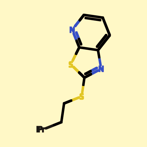 CC(C)CCSc1nc2cccnc2s1